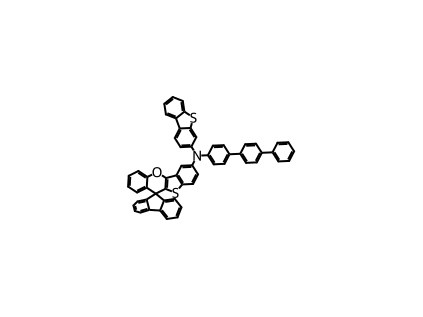 c1ccc(-c2ccc(-c3ccc(N(c4ccc5c(c4)sc4ccccc45)c4ccc5sc6c(c5c4)Oc4ccccc4C64c5ccccc5-c5ccccc54)cc3)cc2)cc1